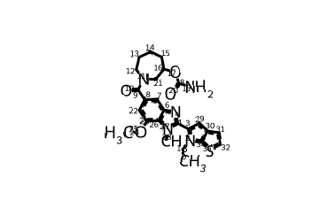 CCn1c(-c2nc3cc(C(=O)N4CCCCC(OC(N)=O)C4)cc(OC)c3n2C)cc2ccsc21